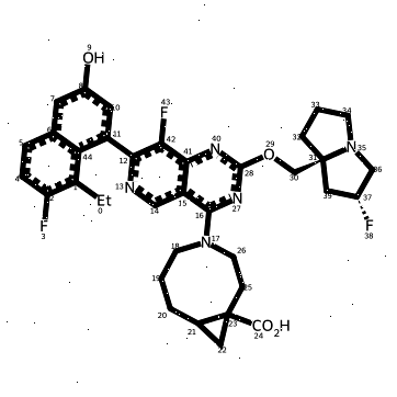 CCc1c(F)ccc2cc(O)cc(-c3ncc4c(N5CCCC6CC6(C(=O)O)CC5)nc(OC[C@@]56CCCN5C[C@H](F)C6)nc4c3F)c12